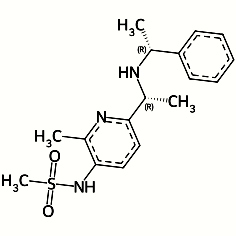 Cc1nc([C@@H](C)N[C@H](C)c2ccccc2)ccc1NS(C)(=O)=O